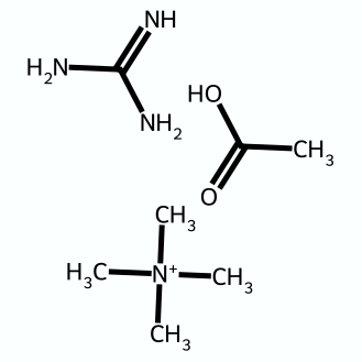 CC(=O)O.C[N+](C)(C)C.N=C(N)N